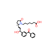 O=C(O)CCCCCCN1C(=O)CC[C@@H]1/C=C/C(O)c1cccc(C(=O)c2ccccc2)c1